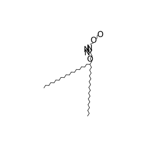 CCCCCCCCCCCCCCCCCCC(CCCCCCCCCCCCCCCCCC)COCc1cn(CCOCCOC)nn1